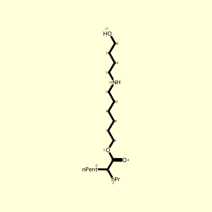 CCCCCC(CCC)C(=O)OCCCCCCNCCCCO